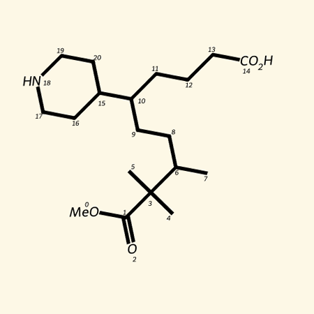 COC(=O)C(C)(C)C(C)CCC(CCCC(=O)O)C1CCNCC1